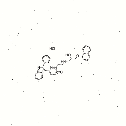 Cl.O=c1ccc(-c2c(-c3ccccc3)nn3ccccc23)nn1CCNCC(O)COc1cccc2ccccc12